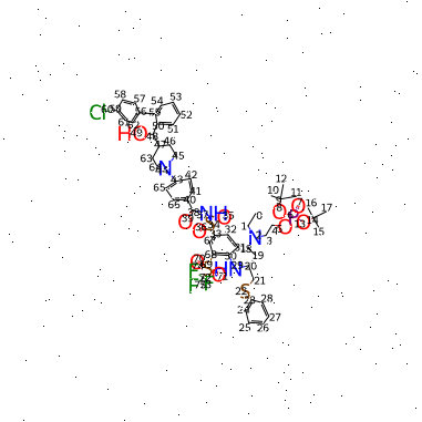 CCN(CCOP(=O)(OC(C)(C)C)OC(C)(C)C)CC[C@H](CSc1ccccc1)Nc1ccc(S(=O)(=O)NC(=O)c2ccc(N3CCC(C(O)c4ccccc4-c4ccc(Cl)cc4)CC3)cc2)cc1S(=O)(=O)C(F)(F)F